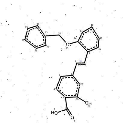 O=C(O)c1ccc(/C=C/c2ccccc2OCc2ccccc2)cc1O